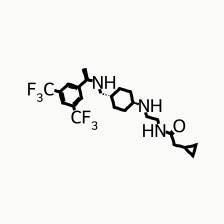 C=C(NC[C@H]1CC[C@H](NCCNC(=O)CC2CC2)CC1)c1cc(C(F)(F)F)cc(C(F)(F)F)c1